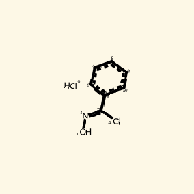 Cl.O/N=C(\Cl)c1ccccc1